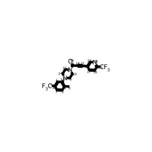 Cc1ccc(C(F)(F)F)cc1N1CCN(C(=O)C#Cc2ccc(C(F)(F)F)nc2)CC1